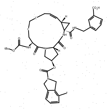 CC(C)(C)OC(=O)N[C@H]1CCCCC/C=C\[C@@H]2C[C@@]2(C(=O)NCc2cccc(C(=O)O)c2)NC(=O)[C@@H]2C[C@@H](OC(=O)N3Cc4cccc(F)c4C3)CN2C1=O